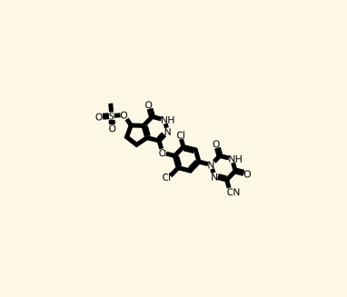 CS(=O)(=O)OC1CCc2c(Oc3c(Cl)cc(-n4nc(C#N)c(=O)[nH]c4=O)cc3Cl)n[nH]c(=O)c21